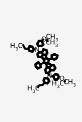 CCCc1ccc(N(c2ccc(OC(C)C)cc2)c2ccc3c4c(-c5ccccc5)c5c6ccc(N(c7ccc(CCC)cc7)c7ccc(OC(C)C)cc7)c7cccc(c5c(-c5ccccc5)c4c4cccc2c43)c76)cc1